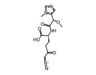 CO[C@@H](C(=O)N[C@@H](CCC(=O)C=[N+]=[N-])C(=O)O)c1cncn1C